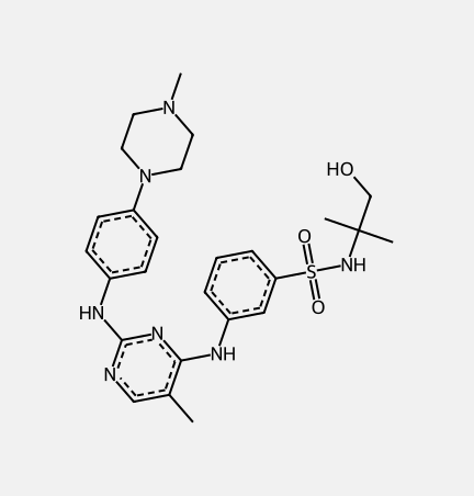 Cc1cnc(Nc2ccc(N3CCN(C)CC3)cc2)nc1Nc1cccc(S(=O)(=O)NC(C)(C)CO)c1